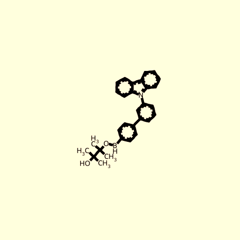 CC(C)(O)C(C)(C)OBc1ccc(-c2cccc(-n3c4ccccc4c4ccccc43)c2)cc1